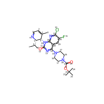 CC1=CC=N[C@@H](C(C)C)[C@H]1n1c(=O)nc(N2CCN(C(=O)OC(C)(C)C)CC2)c2cc(F)c(Cl)nc21